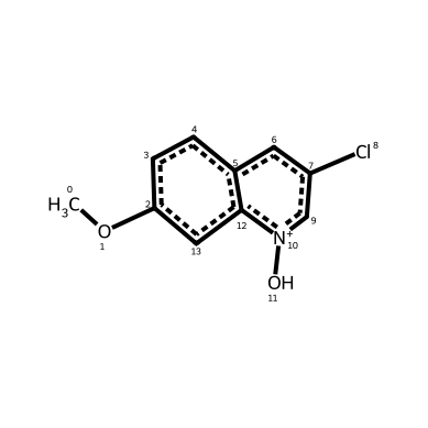 COc1ccc2cc(Cl)c[n+](O)c2c1